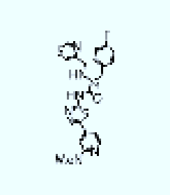 CNc1cc(-c2nnc(NC(=O)[C@H](Cc3ccc(F)cc3)NCc3cscn3)s2)ccn1